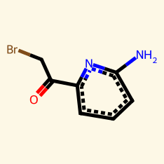 Nc1cccc(C(=O)CBr)n1